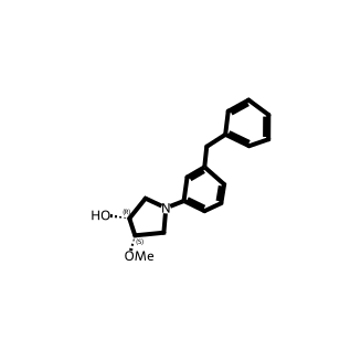 CO[C@H]1CN(c2cccc(Cc3ccccc3)c2)C[C@H]1O